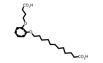 O=C(O)CCCCCCCCCCCOc1ccccc1OCCCC(=O)O